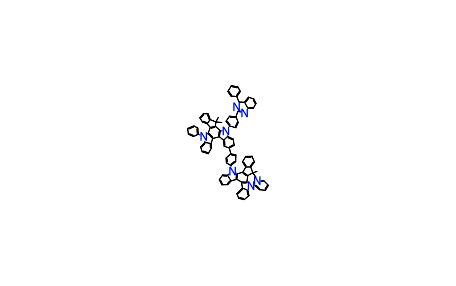 CC1(C)c2ccccc2-c2c1c1c(c3cc(-c4ccc(-n5c6ccccc6c6c7c8ccccc8n(-c8ccccn8)c7c7c(c65)-c5ccccc5C7(C)C)cc4)ccc3n1-c1ccc(-c3nc(-c4ccccc4)c4ccccc4n3)cc1)c1c3ccccc3n(-c3ccccc3)c21